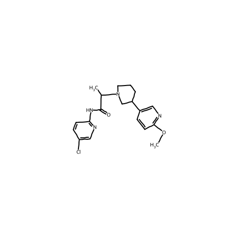 COc1ccc(C2CCCN(C(C)C(=O)Nc3ccc(Cl)cn3)C2)cn1